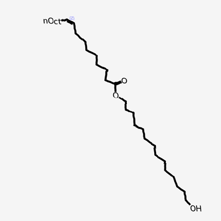 CCCCCCCC/C=C\CCCCCCCC(=O)OCCCCCCCCCCCCCCO